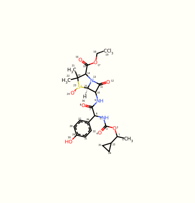 CC(OC(=O)NC(C(=O)NC1C(=O)N2C(C(=O)OCC(Cl)(Cl)Cl)C(C)(C)[S+]([O-])[C@H]12)c1ccc(O)cc1)C1CC1